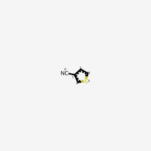 N#Cc1[c]s[c]c1